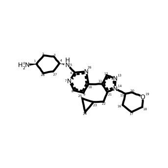 N[C@H]1CC[C@H](Nc2nccc(-c3cnn(C4CCCOC4)c3CC3CC3)n2)CC1